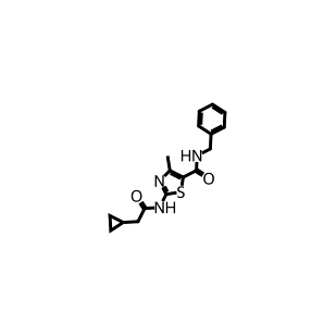 Cc1nc(NC(=O)CC2CC2)sc1C(=O)NCc1ccccc1